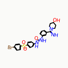 N=C(c1cccc(NC(=O)Nc2ccc(S(=O)(=O)c3ccc(Br)cc3)cc2)c1)N1CCC(O)CC1